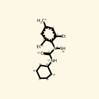 CCc1cc(C)cc(CC)c1N(S)C(=O)NC1CCCCC1